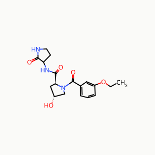 CCOc1cccc(C(=O)N2C[C@H](O)C[C@H]2C(=O)NC2CCNC2=O)c1